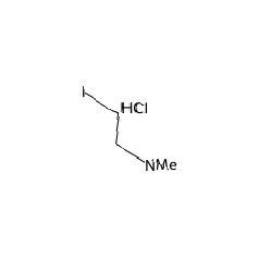 CNCCI.Cl